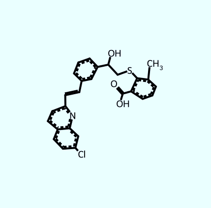 Cc1cccc(C(=O)O)c1SCC(O)c1cccc(C=Cc2ccc3ccc(Cl)cc3n2)c1